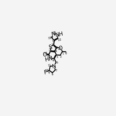 CC1Cc2c(CN3CCC(F)C3)[nH]c(=O)c3sc(-c4cn[nH]c4)c(c23)O1